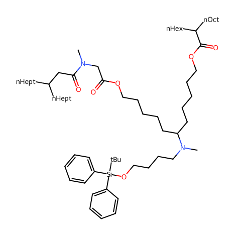 CCCCCCCCC(CCCCCC)C(=O)OCCCCCC(CCCCCOC(=O)CN(C)C(=O)CC(CCCCCCC)CCCCCCC)N(C)CCCCO[Si](c1ccccc1)(c1ccccc1)C(C)(C)C